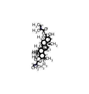 C=C[C@]12CC[C@H](O)[C@](C)(COC(=O)/C(C)=C/C)C1CC[C@]1(C)C2CC=C2C3CC(C)(C)[C@@H](OC(=O)/C(C)=C/C)[C@H](O)[C@]3(CO)[C@H](O)C[C@]21C